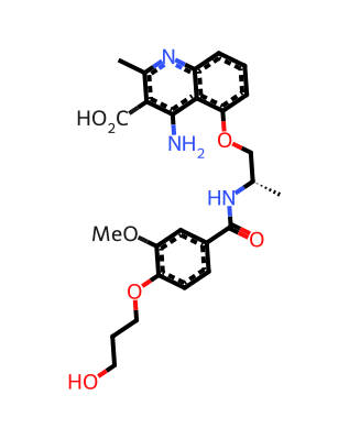 COc1cc(C(=O)N[C@@H](C)COc2cccc3nc(C)c(C(=O)O)c(N)c23)ccc1OCCCO